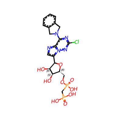 O=P(O)(O)CP(=O)(O)OC[C@H]1OC(c2cnc3c(N4Cc5ccccc5C4)nc(Cl)nn23)[C@H](O)[C@@H]1O